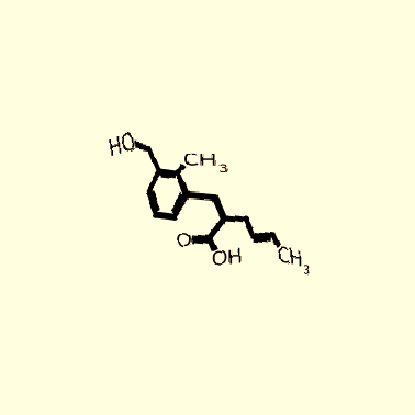 CC=CCC(Cc1cccc(CO)c1C)C(=O)O